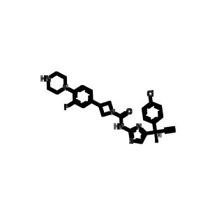 C#C[C@@](C)(c1ccc(Cl)cc1)c1csc(NC(=O)N2CC(c3ccc(N4CCNCC4)c(F)c3)C2)n1